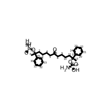 CC(CCCCC(=O)CCCCC(C)(OP(N)(=O)O)c1ccccc1)(O[PH](N)=O)c1ccccc1